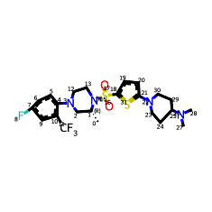 C[C@@H]1CN(c2ccc(F)cc2C(F)(F)F)CCN1S(=O)(=O)c1ccc(N2CCC(N(C)C)CC2)s1